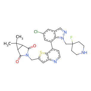 CC1(C)C2C(=O)N(Cc3cc4nccc(-c5cc(Cl)cc6cnn(CC7(F)CCNCC7)c56)c4s3)C(=O)C21